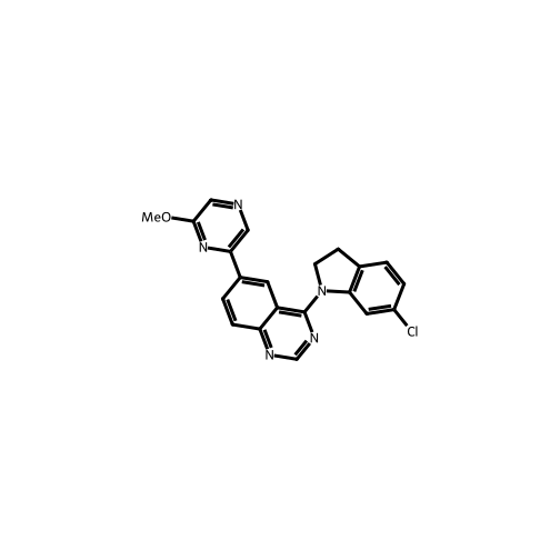 COc1cncc(-c2ccc3ncnc(N4CCc5ccc(Cl)cc54)c3c2)n1